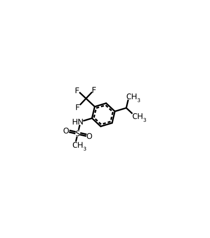 CC(C)c1ccc(NS(C)(=O)=O)c(C(F)(F)F)c1